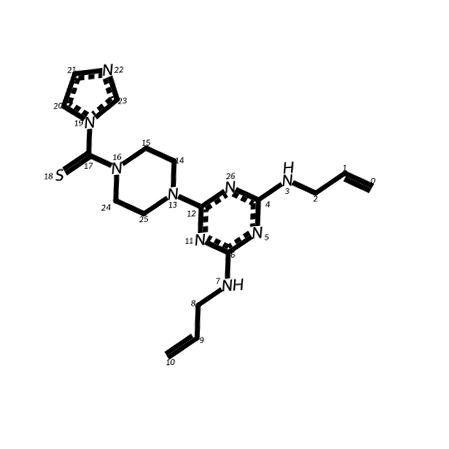 C=CCNc1nc(NCC=C)nc(N2CCN(C(=S)n3ccnc3)CC2)n1